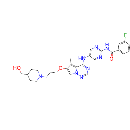 Cc1c(OCCCN2CCC(CO)CC2)cn2ncnc(Nc3cnc(NC(=O)c4cccc(F)c4)nc3)c12